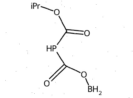 BOC(=O)PC(=O)OC(C)C